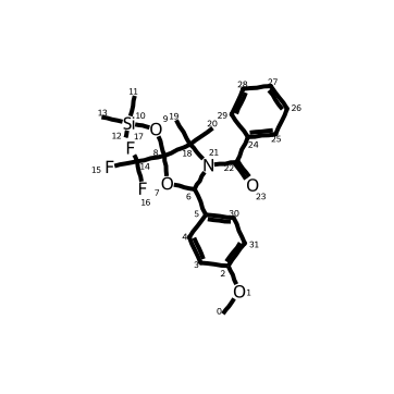 COc1ccc(C2OC(O[Si](C)(C)C)(C(F)(F)F)C(C)(C)N2C(=O)c2ccccc2)cc1